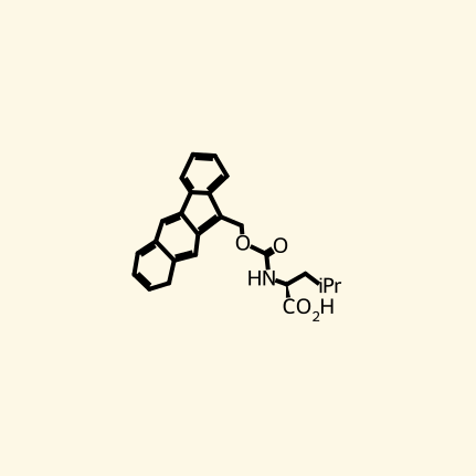 CC(C)C[C@H](NC(=O)OCC1=c2cc3c(cc2-c2ccccc21)=CC=CC3)C(=O)O